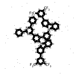 FC(F)(F)c1cc(-c2ccc3c(c2)c2ccccc2n3-c2cccc(-c3cc(-c4cc(-c5ccccc5)nc(-c5ccccc5)n4)ccc3-n3c4ccccc4c4cc(-c5cc(C(F)(F)F)cc(C(F)(F)F)c5)ccc43)c2)cc(C(F)(F)F)c1